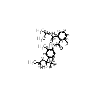 CC1=NOC(c2ccc(NC(=O)c3c(I)cccc3C(=O)NC(C)C)c(C)c2)(C(F)(F)F)C1